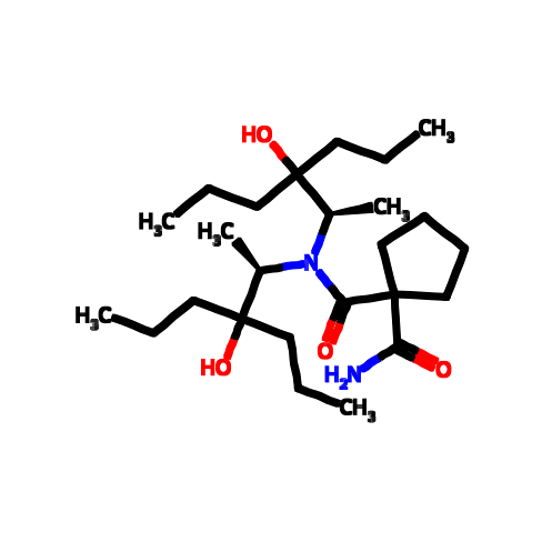 CCCC(O)(CCC)[C@@H](C)N(C(=O)C1(C(N)=O)CCCC1)[C@H](C)C(O)(CCC)CCC